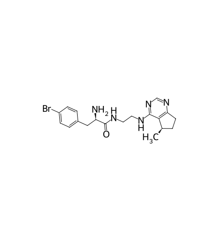 C[C@@H]1CCc2ncnc(NCCNC(=O)[C@H](N)Cc3ccc(Br)cc3)c21